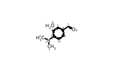 CN(C)c1ccc(C=O)cc1.O